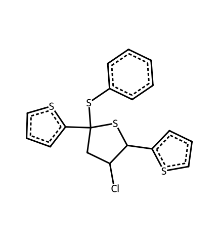 ClC1CC(Sc2ccccc2)(c2cccs2)SC1c1cccs1